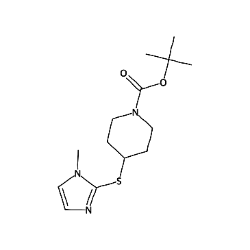 Cn1ccnc1SC1CCN(C(=O)OC(C)(C)C)CC1